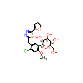 COc1cc(Cl)c(Cc2nnc(C3=CCCO3)s2)cc1[C@@H]1O[C@H](CO)[C@@H](O)[C@H](O)[C@H]1O